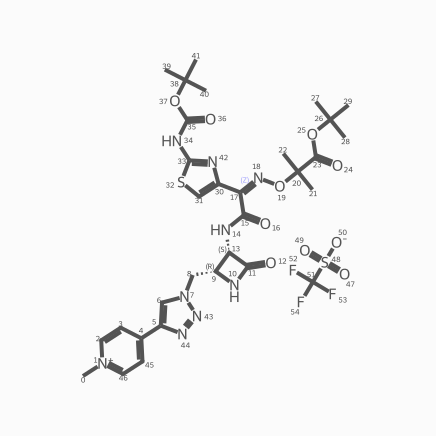 C[n+]1ccc(-c2cn(C[C@H]3NC(=O)[C@H]3NC(=O)/C(=N\OC(C)(C)C(=O)OC(C)(C)C)c3csc(NC(=O)OC(C)(C)C)n3)nn2)cc1.O=S(=O)([O-])C(F)(F)F